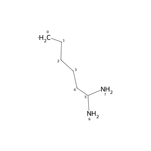 [CH2]CCCCC(N)N